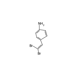 Nc1ccc(C=C(Br)Br)cc1